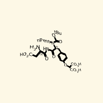 CCCCCN(C(=O)OC(C)(C)C)[C@@H](Cc1ccc(OC(C(=O)O)C(=O)O)cc1)C(=O)NC(=O)[C@@H](N)CC(=O)O